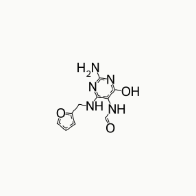 Nc1nc(O)c(NC=O)c(NCc2ccco2)n1